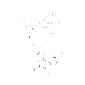 COc1ccc2c3c1OC1C(OC(=O)OC[C@H]4O[C@H](O)[C@H](O)[C@H]4OC4O[C@H](CO)[C@H](O)[C@@H]4O)=CCC4[C@@H](C2)N(C)CC[C@]314